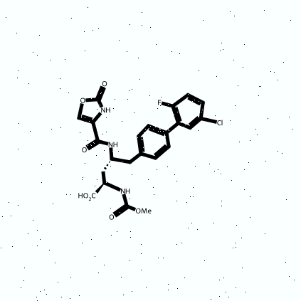 COC(=O)N[C@H](C[C@@H](Cc1ccc(-c2cc(Cl)ccc2F)cc1)NC(=O)c1coc(=O)[nH]1)C(=O)O